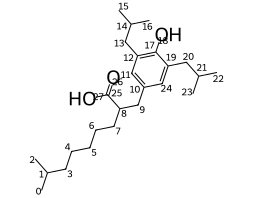 CC(C)CCCCCC(Cc1cc(CC(C)C)c(O)c(CC(C)C)c1)C(=O)O